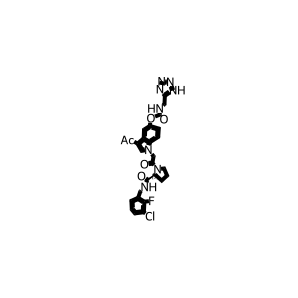 CC(=O)c1cn(CC(=O)N2CCC[C@H]2C(=O)NCc2cccc(Cl)c2F)c2ccc(OC(=O)NCc3nnn[nH]3)cc12